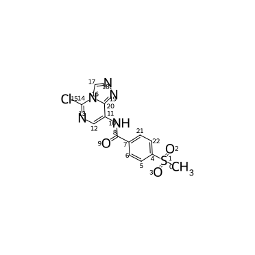 CS(=O)(=O)c1ccc(C(=O)Nc2cnc(Cl)n3cnnc23)cc1